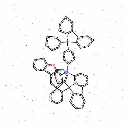 c1ccc(C2(c3ccc(N(c4cccc5c4C(c4ccccc4)(c4ccccc4)c4ccccc4-5)c4cccc5c4oc4ccccc45)cc3)c3ccccc3-c3ccccc32)cc1